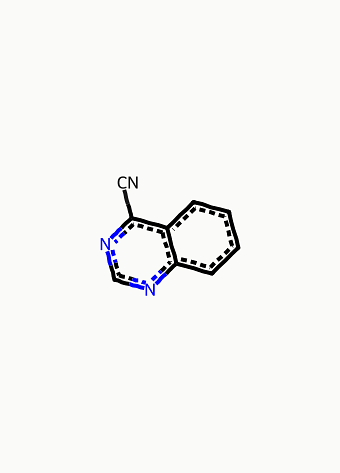 N#Cc1ncnc2ccccc12